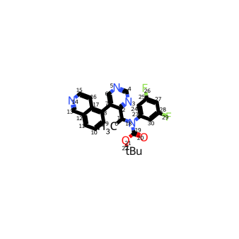 CC(c1ncncc1-c1cccc2cnccc12)N(C(=O)OC(C)(C)C)c1cc(F)cc(F)c1